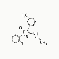 C=CCNC1=C(c2cccc(C(F)(F)F)c2)C(=O)C(c2ccccc2F)S1